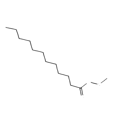 CCCCCCCCCCCC(=O)ONC